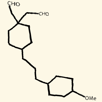 COC1CCC(CCCC2CCC(CC=O)(CC=O)CC2)CC1